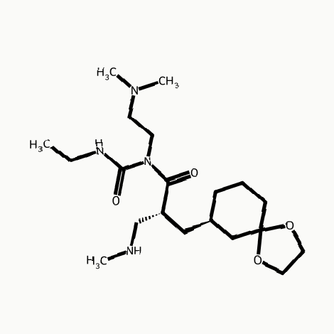 CCNC(=O)N(CCN(C)C)C(=O)[C@@H](CNC)C[C@H]1CCCC2(C1)OCCO2